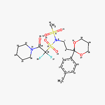 Cc1ccc(C2(CCN(S(C)(=O)=O)S(=O)(=O)C(F)(F)C(=O)N3CCCCC3)OCCCO2)cc1